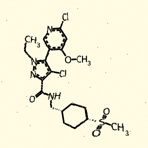 CCn1nc(C(=O)NC[C@H]2CC[C@@H](S(C)(=O)=O)CC2)c(Cl)c1-c1cnc(Cl)cc1OC